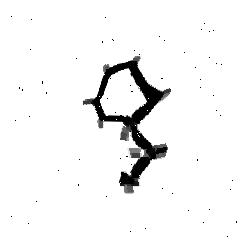 [CH2]C(=O)NN1CCCCC1